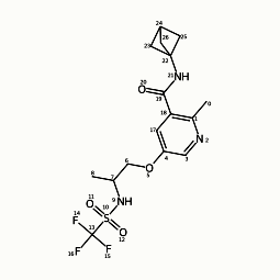 Cc1ncc(OCC(C)NS(=O)(=O)C(F)(F)F)cc1C(=O)NC12CC(C1)C2